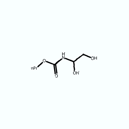 CC[CH]OC(=O)NC(O)CO